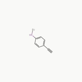 C#Cc1ccc(PCC)cc1